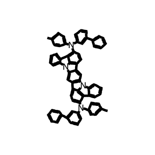 Cc1ccc(N(c2cccc(-c3ccccc3)c2)c2ccc3c4cc5c(cc4n4c6ccccc6c2c34)c2ccc(N(c3ccc(C)cc3)c3cccc(-c4ccccc4)c3)c3c4ccccc4n5c23)cc1